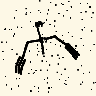 C#CC[N+](C)(CC#C)CCC